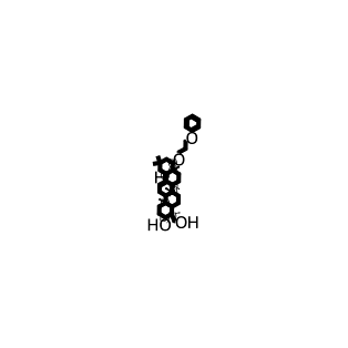 CC1(C)C[C@@H](OCCCOc2ccccc2)[C@]2(C)CC[C@]3(C)C(=CCC4[C@@]5(C)CC[C@H](O)[C@](C)(CO)C5CC[C@]43C)[C@@H]2C1